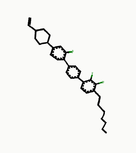 C=CC1CCC(c2ccc(-c3ccc(-c4ccc(CCCCCCC)c(F)c4F)cc3)c(F)c2)CC1